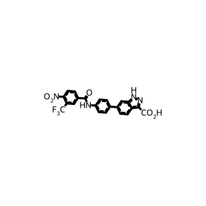 O=C(Nc1ccc(-c2ccc3c(C(=O)O)n[nH]c3c2)cc1)c1ccc([N+](=O)[O-])c(C(F)(F)F)c1